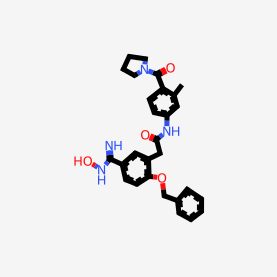 Cc1cc(NC(=O)Cc2cc(C(=N)NO)ccc2OCc2ccccc2)ccc1C(=O)N1CCCC1